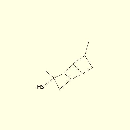 CC1CC2C3CC(C)(S)C3C12